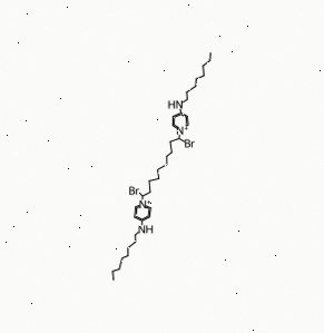 CCCCCCCCNc1cc[n+](C(Br)CCCCCCCCC(Br)[n+]2ccc(NCCCCCCCC)cc2)cc1